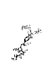 CCOC(=O)CC[C@H](NC(=O)c1ccc(C(CO)CC2CNc3nc(NC(=O)C(C)(C)C)nc(O)c3C2)cc1)C(=O)OCC